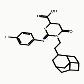 O=C(O)C1CC(=O)N(CCC23CC4CC5CC(C2)C5(C4)C3)/C(=N/c2ccc(Cl)cc2)S1